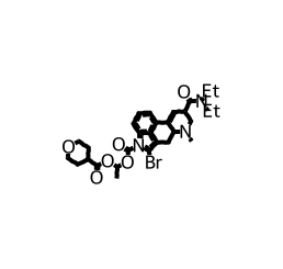 CCN(CC)C(=O)C1C=C2c3cccc4c3c(c(Br)n4C(=O)OC(C)OC(=O)C3CCOCC3)CC2N(C)C1